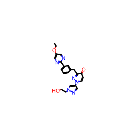 CCOc1cnc(-c2cccc(Cc3nn(-c4cnn(CCO)c4)ccc3=O)c2)nc1